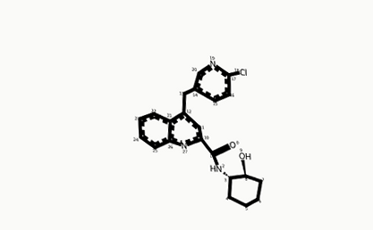 O=C(N[C@H]1CCCC[C@@H]1O)c1cc(Cc2ccc(Cl)nc2)c2ccccc2n1